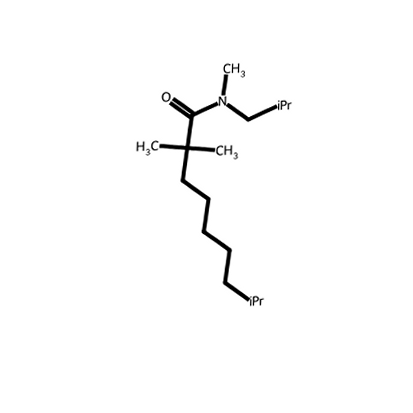 CC(C)CCCCCC(C)(C)C(=O)N(C)CC(C)C